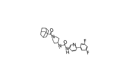 CN(C(=O)Nc1ccc(-c2cc(F)cc(F)c2)nc1)C1CCN(C(=O)C23CC4CC(CC(C4)C2)C3)CC1